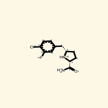 NC(=O)[C@H]1CC[C@@H]([CH]c2ccc(Cl)c(F)c2)N1